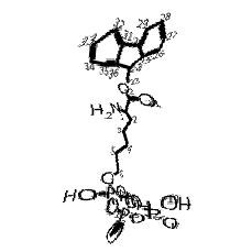 NC(CCCCCOP(=O)(O)OP(=O)(O)OP(=O)(O)O)C(=O)OCC1c2ccccc2-c2ccccc21